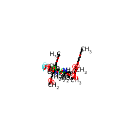 C=C(C)C(=O)OCC1CO1.C=C(C)C(=O)OCCCCCCCCCCCC.C=C(Cl)Cl.C=CC#N.C=CC(=O)OCCCCCCCCCCCCCCCCCC.C=CCl.C=COC(C)=O.C=Cc1ccccc1.C=Cc1ccncc1.FCC(F)(F)F